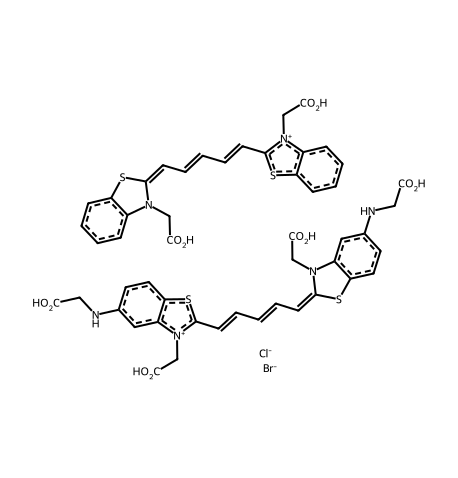 O=C(O)CN1C(=CC=CC=Cc2sc3ccccc3[n+]2CC(=O)O)Sc2ccccc21.O=C(O)CNc1ccc2c(c1)N(CC(=O)O)C(=CC=CC=Cc1sc3ccc(NCC(=O)O)cc3[n+]1CC(=O)O)S2.[Br-].[Cl-]